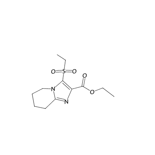 CCOC(=O)c1nc2n(c1S(=O)(=O)CC)CCCC2